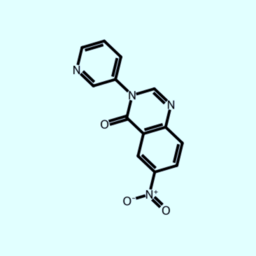 O=c1c2cc([N+](=O)[O-])ccc2ncn1-c1cccnc1